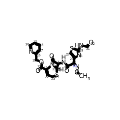 CO/N=C(\C(=O)NC1C(=O)N2C(C(=O)OCc3ccccn3)=CCS[C@H]12)c1csc(NC=O)n1